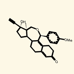 C#C[C@]1(O)CCC2C3CCC4=CC(=O)CCC4=C3[C@H](c3ccc(OC)cc3)OC[C@@]21C